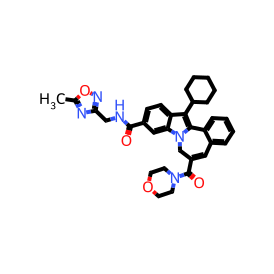 Cc1nc(CNC(=O)c2ccc3c(C4CCCCC4)c4n(c3c2)CC(C(=O)N2CCOCC2)=Cc2ccccc2-4)no1